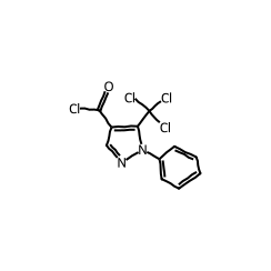 O=C(Cl)c1cnn(-c2ccccc2)c1C(Cl)(Cl)Cl